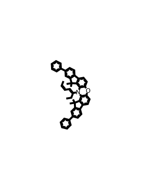 C/C=C\C=C(/CC)N1c2c(ccc3c2C(C)(C)c2cc(-c4ccccc4)ccc2-3)Oc2ccc3c(c21)C(C)(C)c1cc(-c2ccccc2)ccc1-3